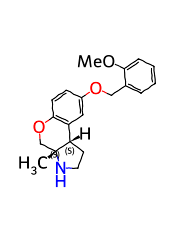 COc1ccccc1COc1ccc2c(c1)[C@@H]1CCN[C@]1(C)CO2